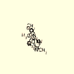 COc1ccc(CN2CN(Cc3ccccc3)C(=O)N(c3cnn(Cc4c(C)noc4C)c3)C2)c(OC)c1